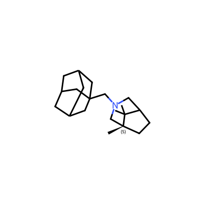 CC1(C)C2CC[C@]1(C)CN(CC13CC4CC(CC(C4)C1)C3)C2